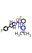 CC(C)N1CCN([C@H]2CCCC(F)(F)[C@@H]2NC(=O)N2C[C@H]3CC(c4ccc(F)cc4)C[C@H]3C2)CC1